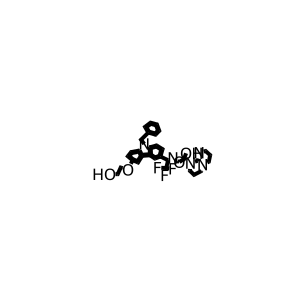 OCCOc1ccc2c(c1)c1cc(/C(=N/OC(O)N3CCCN4CCCN=C43)C(F)(F)F)ccc1n2Cc1ccccc1